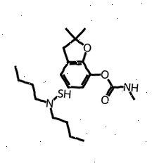 CCCCN(S)CCCC.CNC(=O)Oc1cccc2c1OC(C)(C)C2